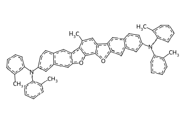 Cc1ccccc1N(c1ccc2cc3c(cc2c1)oc1c3cc(C)c2c3cc4ccc(N(c5ccccc5C)c5ccccc5C)cc4cc3oc12)c1ccccc1C